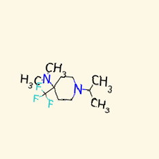 CC(C)N1CCC(N(C)C)(C(F)(F)F)CC1